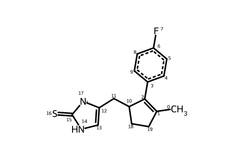 CC1=C(c2ccc(F)cc2)C(CC2=CNC(=S)[N]2)CC1